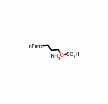 CCCCCCCCOS(=O)(=O)O.N